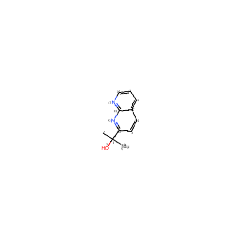 CC(C)(C)C(C)(O)c1ccc2cccnc2n1